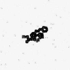 CC(C)OC(=O)Nc1ccc(OCCN2CCSCC2)c(-c2ccnn2C)c1